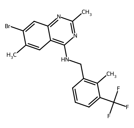 Cc1nc(NCc2cccc(C(F)(F)F)c2C)c2cc(C)c(Br)cc2n1